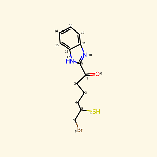 O=C(CCCC(S)CBr)c1nc2ccccc2[nH]1